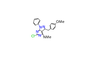 CNc1nc(Cl)nc2c1c(Cc1ccc(OC)cc1)nn2-c1ccccc1